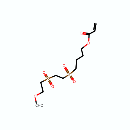 C=CC(=O)OCCCCS(=O)(=O)CCS(=O)(=O)CCOC=O